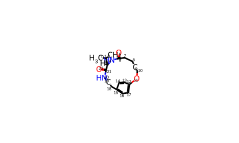 CC(C)[C@@H]1NC(=O)CCCCOc2ccc(cc2)CCNC1=O